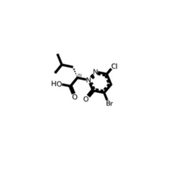 CC(C)C[C@@H](C(=O)O)n1nc(Cl)cc(Br)c1=O